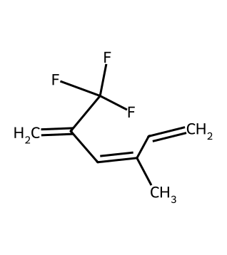 C=C/C(C)=C\C(=C)C(F)(F)F